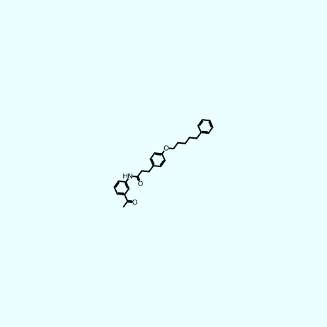 CC(=O)c1cccc(NC(=O)CCc2ccc(OCCCCCc3ccccc3)cc2)c1